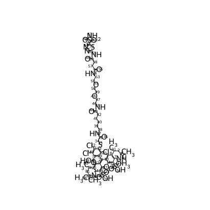 CC1CC(C)(C)Nc2c1cc1c(c2S(=O)(=O)O)Oc2c(S(=O)(=O)O)c3c(cc2=C1c1c(Cl)c(SCC(=O)NCCCCCC(=O)NCCOCCOCCNC(=O)CCC(=O)Nc2nnc(S(N)(=O)=O)s2)c(Cl)c(Cl)c1C(=O)O)C(C)CC(C)(C)N=3